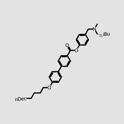 CCCCCCCCCCCCCCOc1ccc(-c2ccc(C(=O)Oc3ccc(CN(C)C[C@@H](C)CC)cc3)cc2)cc1